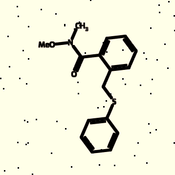 CON(C)C(=O)c1ccccc1CSc1ccccc1